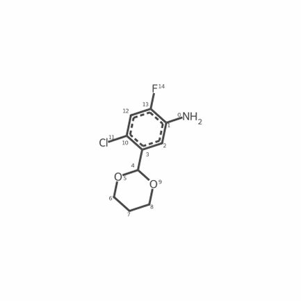 Nc1cc(C2OCCCO2)c(Cl)cc1F